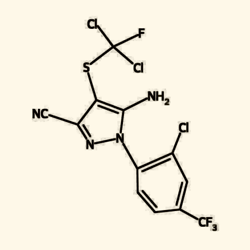 N#Cc1nn(-c2ccc(C(F)(F)F)cc2Cl)c(N)c1SC(F)(Cl)Cl